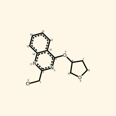 ClCc1nc(OC2CCOC2)c2ccccc2n1